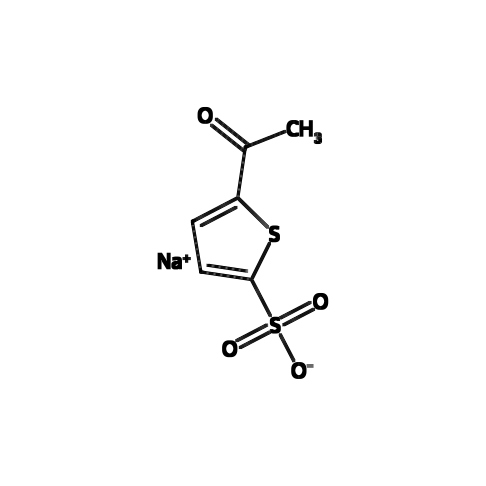 CC(=O)c1ccc(S(=O)(=O)[O-])s1.[Na+]